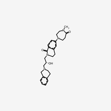 CN1CCN(c2ccc3c(c2)CCN(C[C@H](O)CN2CCc4ccccc4C2)C3=O)CCC1=O